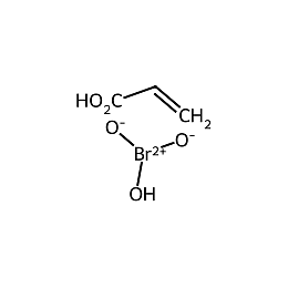 C=CC(=O)O.[O-][Br+2]([O-])O